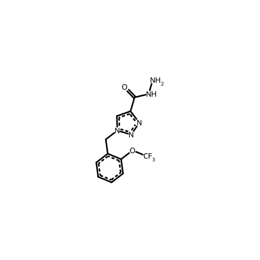 NNC(=O)c1cn(Cc2ccccc2OC(F)(F)F)nn1